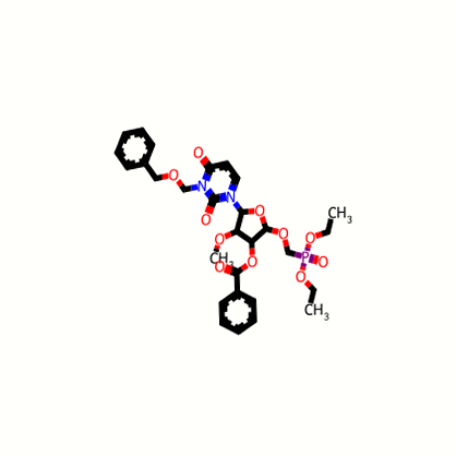 CCOP(=O)(COC1OC(n2ccc(=O)n(COCc3ccccc3)c2=O)C(OC)C1OC(=O)c1ccccc1)OCC